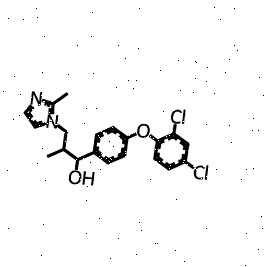 Cc1nccn1CC(C)C(O)c1ccc(Oc2ccc(Cl)cc2Cl)cc1